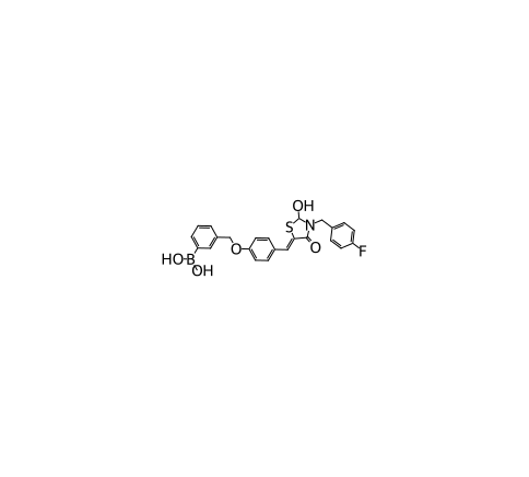 O=C1/C(=C/c2ccc(OCc3cccc(B(O)O)c3)cc2)SC(O)N1Cc1ccc(F)cc1